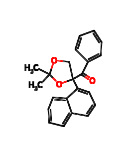 CC1(C)OCC(C(=O)c2ccccc2)(c2cccc3ccccc23)O1